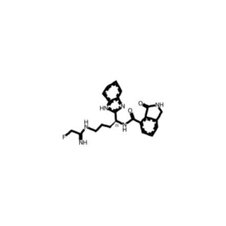 N=C(CF)NCCC[C@H](NC(=O)c1cccc2c1C(=O)NC2)c1nc2ccccc2[nH]1